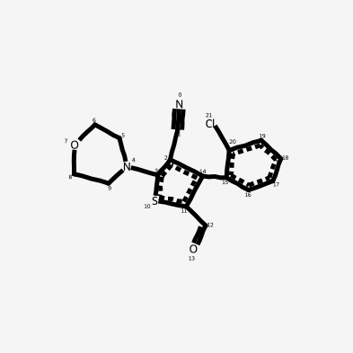 N#Cc1c(N2CCOCC2)sc(C=O)c1-c1ccccc1Cl